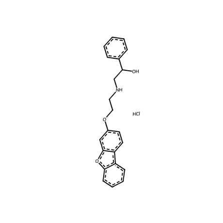 Cl.OC(CNCCOc1ccc2c(c1)oc1ccccc12)c1ccccc1